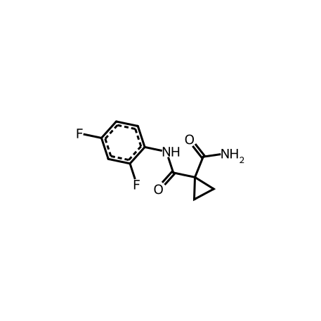 NC(=O)C1(C(=O)Nc2ccc(F)cc2F)CC1